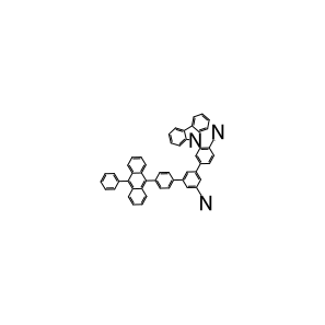 N#Cc1cc(-c2ccc(-c3c4ccccc4c(-c4ccccc4)c4ccccc34)cc2)cc(-c2ccc(C#N)c(-n3c4ccccc4c4ccccc43)c2)c1